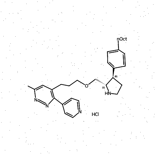 CCCCCCCCc1ccc([C@H]2CCN[C@@H]2COCCCc2cc(C)nnc2-c2ccncc2)cc1.Cl